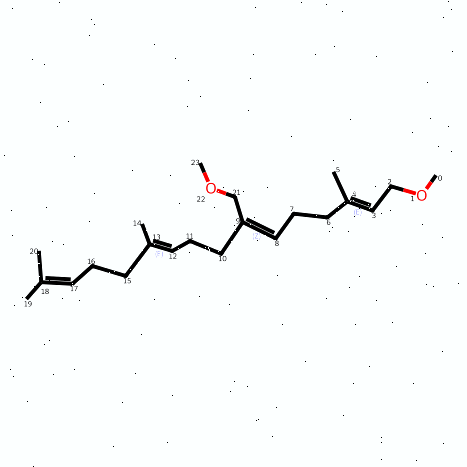 COC/C=C(\C)CC/C=C(/CC/C=C(\C)CCC=C(C)C)COC